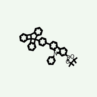 CC1(C)OB(c2ccc3c4ccc(-c5ccc(C67c8ccccc8C8c9ccccc9C86c6ccccc67)cc5)cc4n(-c4ccccc4)c3c2)OC1(C)C